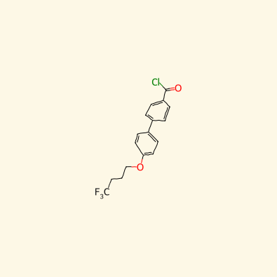 O=C(Cl)c1ccc(-c2ccc(OCCCC(F)(F)F)cc2)cc1